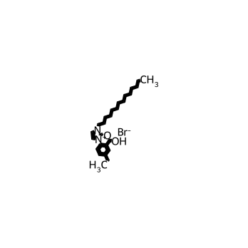 CCCCCCCCCCCCCCn1cc[n+](-c2ccc(CC)cc2C(=O)O)c1.[Br-]